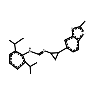 Cc1nc2cc(C3CC3/N=C/Nc3c(C(C)C)cccc3C(C)C)ccc2s1